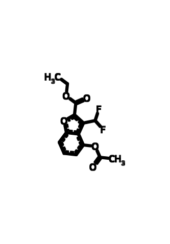 CCOC(=O)c1oc2cccc(OC(C)=O)c2c1C(F)F